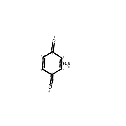 O=C1C=CC(=O)C=C1.S